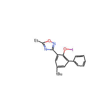 CCc1nc(-c2cc(C(C)(C)C)cc(-c3ccccc3)c2OI)no1